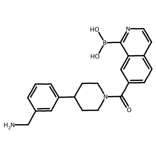 NCc1cccc(C2CCN(C(=O)c3ccc4ccnc(B(O)O)c4c3)CC2)c1